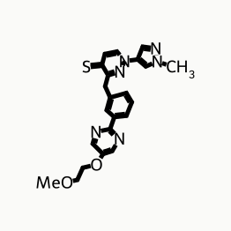 COCCOc1cnc(-c2cccc(Cc3nn(-c4cnn(C)c4)ccc3=S)c2)nc1